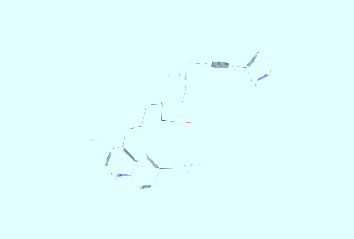 COc1ccc2ncc(Cl)c(CCCC3(CO)CCN(CC#Cc4cscn4)CC3)c2c1